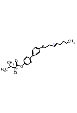 CCCC/C=C/CCSc1ccc(-c2ccc(OC(=O)[C@@H](Cl)C(C)C)cc2)cc1